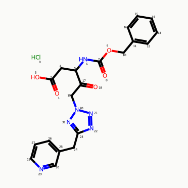 Cl.O=C(O)CC(NC(=O)OCc1ccccc1)C(=O)Cn1nnc(Cc2cccnc2)n1